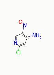 Nc1cc(Cl)ncc1N=O